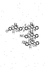 CCn1nc(-c2ccccc2)c(C#N)c(Nc2cc(F)c(F)c(F)c2)c1=O.CCn1nc(-c2ccccc2)c(C#N)c(Nc2ccc(C#N)cc2)c1=O.CCn1nc(-c2ccccc2)c(C#N)c(Nc2ccc(CO)cc2)c1=O.CCn1nc(-c2ccccc2)c(C#N)c(Nc2cccc(Cl)c2)c1=O